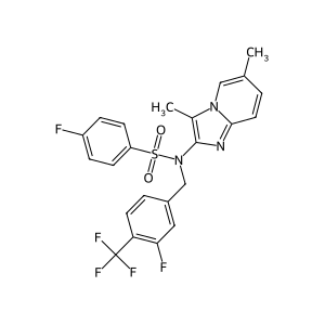 Cc1ccc2nc(N(Cc3ccc(C(F)(F)F)c(F)c3)S(=O)(=O)c3ccc(F)cc3)c(C)n2c1